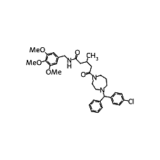 COc1cc(CNC(=O)CC(C)CC(=O)N2CCCN(C(c3ccccc3)c3ccc(Cl)cc3)CC2)cc(OC)c1OC